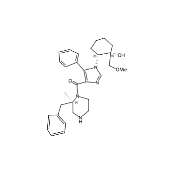 COC[C@]1(O)CCCC[C@H]1n1cnc(C(=O)N2CCNC[C@@]2(C)Cc2ccccc2)c1-c1ccccc1